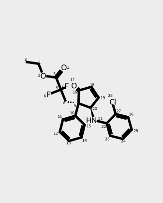 CCOC(=O)C(F)(F)C[C@]1(c2ccccc2)C(=O)C=C[C@H]1Nc1ccccc1Cl